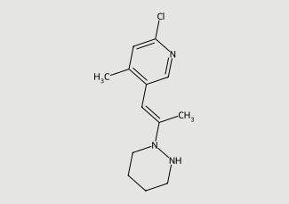 C/C(=C\c1cnc(Cl)cc1C)N1CCCCN1